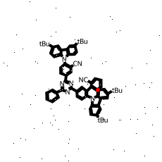 CC(C)(C)c1ccc2c(c1)c1cc(C(C)(C)C)ccc1n2-c1ccc(-c2nc(-c3ccccc3)nc(-c3ccc(-n4c5ccc(C(C)(C)C)cc5c5cc(C(C)(C)C)ccc54)c(-c4ccccc4C#N)c3)n2)cc1C#N